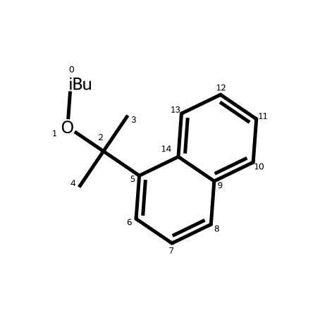 CCC(C)OC(C)(C)c1cccc2ccccc12